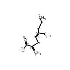 C=C(C/C=C(\C)CCC)C(=O)O